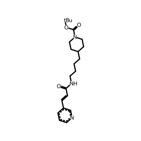 CC(C)(C)OC(=O)N1CCC(CCCCNC(=O)C=Cc2cccnc2)CC1